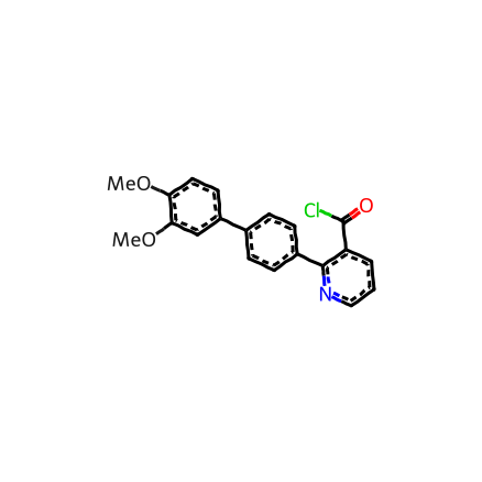 COc1ccc(-c2ccc(-c3ncccc3C(=O)Cl)cc2)cc1OC